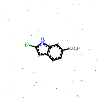 O=C(O)c1ccc2cc(Br)[nH]c2c1